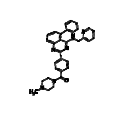 CN1CCN(C(=O)c2ccc(-c3nc(NCc4ccccn4)c4c(-c5ccccc5)cccc4n3)cc2)CC1